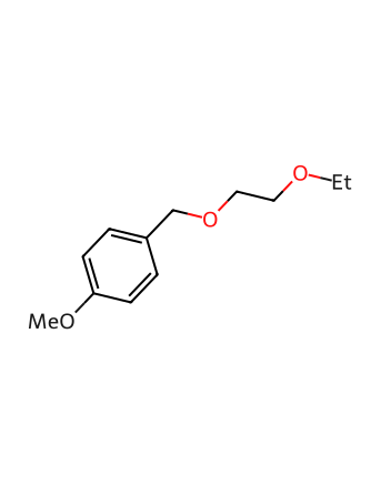 CCOCCOCc1ccc(OC)cc1